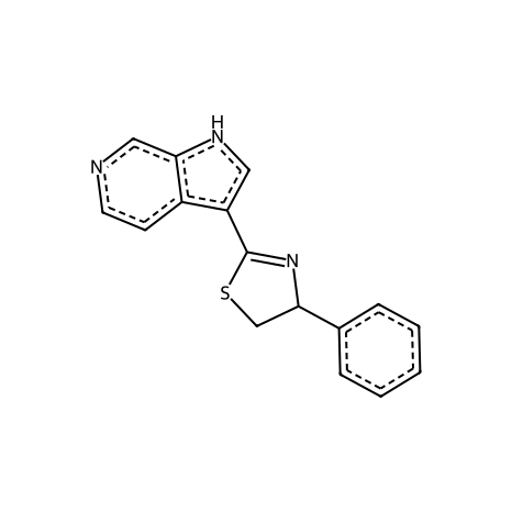 c1ccc(C2CSC(c3c[nH]c4cnccc34)=N2)cc1